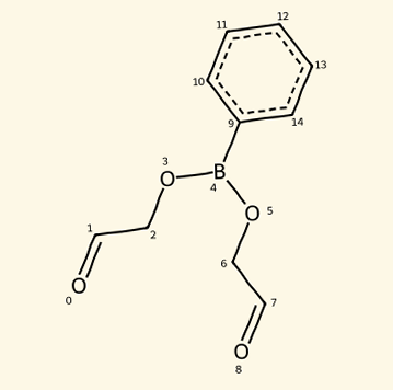 O=CCOB(OCC=O)c1ccccc1